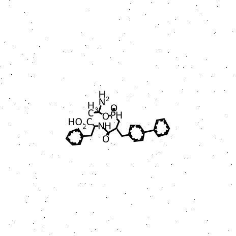 CC(N)O[PH](=O)CC(Cc1ccc(-c2ccccc2)cc1)C(=O)N[C@@H](Cc1ccccc1)C(=O)O